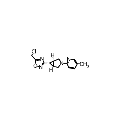 Cc1ccc(N2C[C@@H]3[C@H](C2)[C@H]3c2noc(CCl)n2)nc1